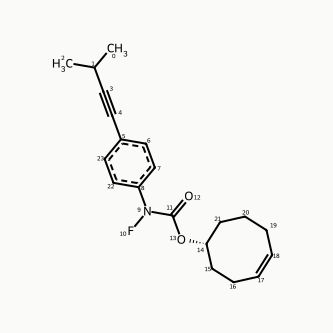 CC(C)C#Cc1ccc(N(F)C(=O)O[C@H]2CC/C=C\CCC2)cc1